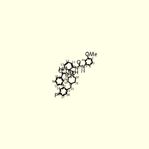 COc1cccc(NC(=O)NC2=CC=CNC2(CN2CCC(Cc3ccc(F)cc3)CC2)NC(=O)c2ccccc2)c1